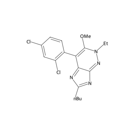 CCCCc1nc2nn(CC)c(OC)c(-c3ccc(Cl)cc3Cl)c-2n1